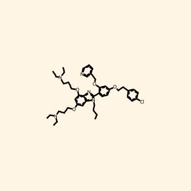 CCCCn1c(-c2ccc(OCCc3ccc(Cl)cc3)cc2OCc2cccnc2)nc2c(OCCCN(CC)CC)cc(OCCCN(CC)CC)cc21